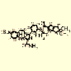 Cc1c(-c2nc(C(N)=O)c3n2CCc2cc(C(C)(C)C)ccc2N3)cccc1N1CCn2c(cc3c2CC(C)(C)C3)C1=O